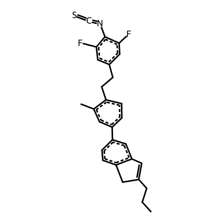 CCCC1=Cc2cc(-c3ccc(CCc4cc(F)c(N=C=S)c(F)c4)c(C)c3)ccc2C1